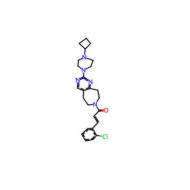 O=C(C=Cc1ccccc1Cl)N1CCc2cnc(N3CCN(C4CCC4)CC3)nc2CC1